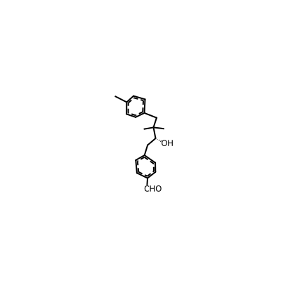 Cc1ccc(CC(C)(C)[C@H](O)Cc2ccc(C=O)cc2)cc1